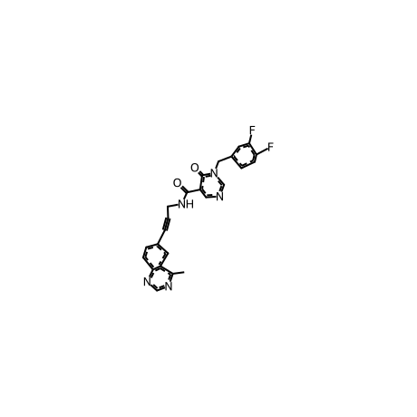 Cc1ncnc2ccc(C#CCNC(=O)c3cncn(Cc4ccc(F)c(F)c4)c3=O)cc12